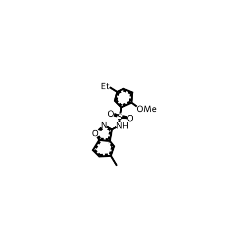 CCc1ccc(OC)c(S(=O)(=O)Nc2noc3ccc(C)cc23)c1